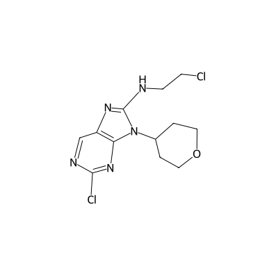 ClCCNc1nc2cnc(Cl)nc2n1C1CCOCC1